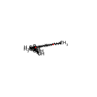 CCCCCCCCCCCCCCCCCCCCCCCCC(=O)C(C[N+](C)(C)C)OP(=O)(O)OCC(O)CO